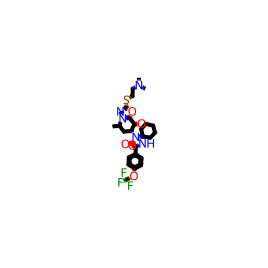 CC(C)CC(C(=O)c1nnc(SCCN(C)C)o1)N(C=O)C1(NC(=O)c2ccc(OC(F)(F)F)cc2)CCCCC1